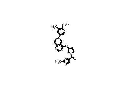 COc1ncc(N2CCc3ncnc(OC4CCN(C(=O)c5coc(C)n5)C4)c3C2)cc1C